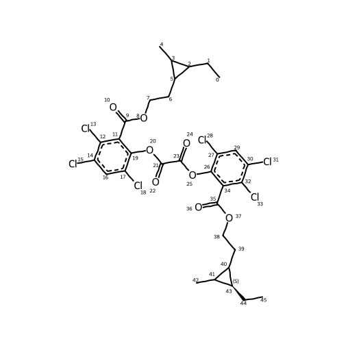 CCC1C(C)C1CCOC(=O)c1c(Cl)c(Cl)cc(Cl)c1OC(=O)C(=O)Oc1c(Cl)cc(Cl)c(Cl)c1C(=O)OCCC1C(C)[C@@H]1CC